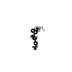 CCC1(Oc2ccc(-c3cnc4c(-c5ccc(S(N)(=O)=O)c6ccccc56)cnn4c3)cc2)CC1